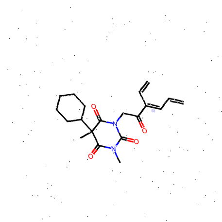 C=C/C=C(\C=C)C(=O)CN1C(=O)N(C)C(=O)C(C)(C2CCCCC2)C1=O